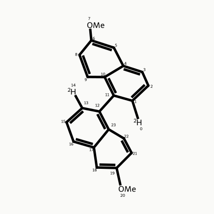 [2H]c1ccc2cc(OC)ccc2c1-c1c([2H])ccc2cc(OC)ccc12